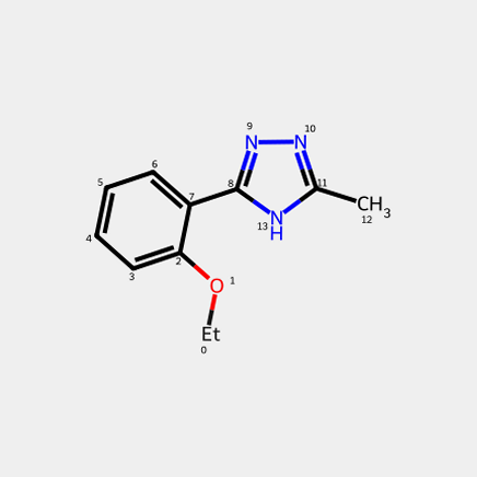 CCOc1ccccc1-c1nnc(C)[nH]1